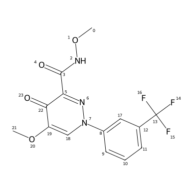 CONC(=O)c1nn(-c2cccc(C(F)(F)F)c2)cc(OC)c1=O